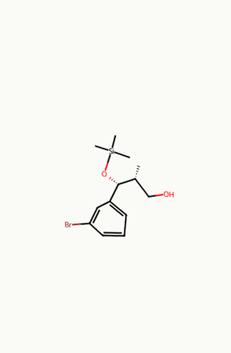 C[C@H](CO)[C@@H](O[Si](C)(C)C)c1cccc(Br)c1